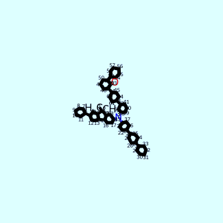 CC1(C)c2cc(-c3ccccc3)ccc2-c2ccc(N(c3ccc(-c4ccc(-c5ccccc5)cc4)cc3)c3cccc(-c4ccc(-c5cccc6c5oc5ccccc56)cc4)c3)cc21